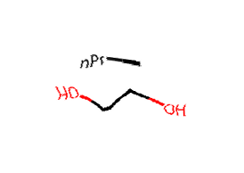 CCCC.OCCO